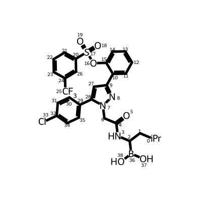 CC(C)CC(NC(=O)Cn1nc(-c2ccccc2OS(=O)(=O)c2cccc(C(F)(F)F)c2)cc1-c1ccc(Cl)cc1)B(O)O